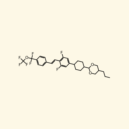 CCCC1COC(C2CCC(c3cc(F)c(/C=C/c4ccc(C(F)(F)OC(F)(F)F)cc4)c(F)c3)CC2)OC1